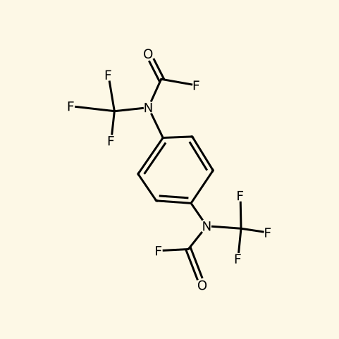 O=C(F)N(c1ccc(N(C(=O)F)C(F)(F)F)cc1)C(F)(F)F